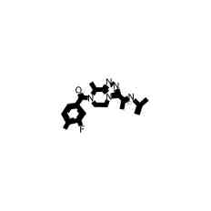 C=C(C)/N=C(\C)c1nnc2n1CCN(C(=O)c1ccc(C)c(F)c1)C2C